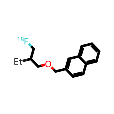 CCC(C[18F])COCc1ccc2ccccc2c1